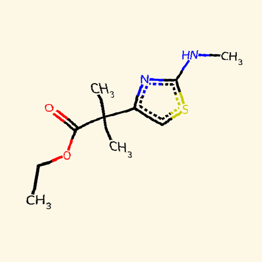 CCOC(=O)C(C)(C)c1csc(NC)n1